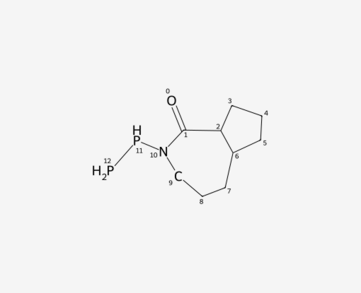 O=C1C2CCCC2CCCN1PP